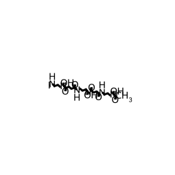 CC(=O)N(O)CCCNC(=O)CCC(=O)N(O)CCCNC(=O)CCC(=O)N(O)CCCNI